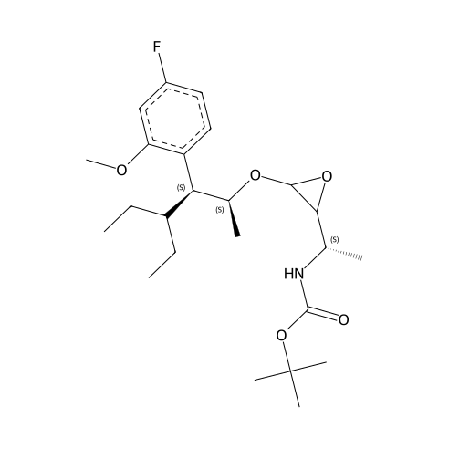 CCC(CC)[C@@H](c1ccc(F)cc1OC)[C@H](C)OC1OC1[C@H](C)NC(=O)OC(C)(C)C